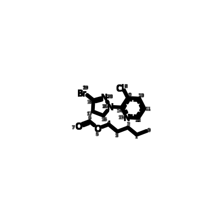 CCCCCOC=O.Clc1cccnc1N1CCC(Br)=N1